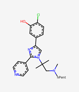 CCCCCN(C)CC(C)(C)n1cc(-c2ccc(Cl)c(O)c2)nc1-c1ccncc1